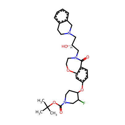 CC(C)(C)OC(=O)N1CCC(Oc2ccc3c(c2)OCCN(C[C@H](O)CN2CCc4ccccc4C2)C3=O)C(F)C1